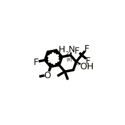 COc1c(F)ccc2c1C(C)(C)C[C@@](O)(C(F)(F)F)[C@@H]2N